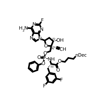 C#C[C@]1(CO[P@@](=O)(N[C@@H](Cc2cc(F)cc(F)c2)C(=O)OCCCCCCCCCCCCC)Oc2ccccc2)OC(n2cnc3c(N)nc(F)nc32)C[C@@H]1O